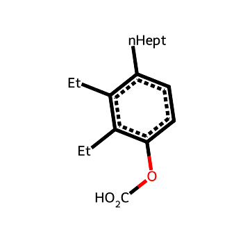 CCCCCCCc1ccc(OC(=O)O)c(CC)c1CC